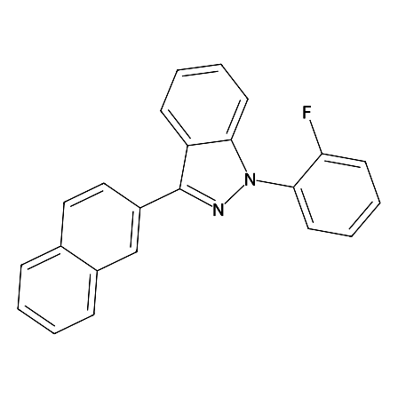 Fc1ccccc1-n1nc(-c2ccc3ccccc3c2)c2ccccc21